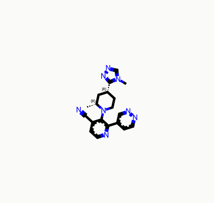 C[C@@H]1C[C@H](c2nncn2C)CCN1c1c(C#N)ccnc1-c1ccnnc1